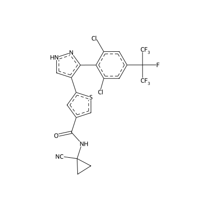 N#CC1(NC(=O)c2csc(-c3c[nH]nc3-c3c(Cl)cc(C(F)(C(F)(F)F)C(F)(F)F)cc3Cl)c2)CC1